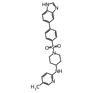 Cc1ccc(NC2CCN(S(=O)(=O)c3ccc(-c4ccc5[nH]cnc5c4)cc3)CC2)nc1